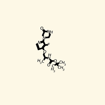 CC(COc1ccnc(N2CCNC(=O)C2)c1F)NC(=O)OC(C)(C)C